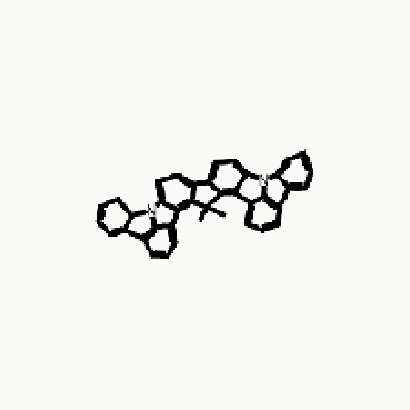 CC1(C)c2c(ccc3c2c2cccc4c2n3C2CC=CC=C42)-c2ccc3c(c21)c1cccc2c4ccccc4n3c21